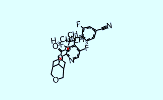 CC(C)(C)OC(=O)N1CC2COCC(C1)C2Oc1ncc(F)c(Nc2ccc(C#N)cc2F)c1F